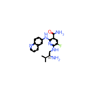 CC(C)[C@H](N)CNc1nc(Nc2ccc3ncccc3c2)c(C(N)=O)cc1F